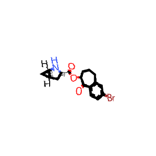 O=C1c2ccc(Br)cc2CCCC1OC(=O)[C@@H]1C[C@H]2C[C@H]2N1